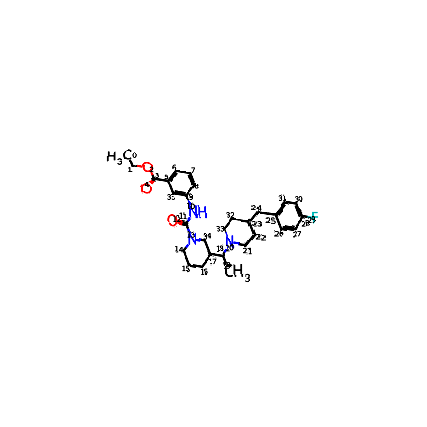 CCOC(=O)c1cccc(NC(=O)N2CCCC(C(C)N3CCC(Cc4ccc(F)cc4)CC3)C2)c1